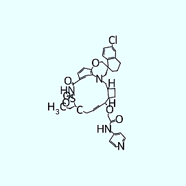 CC[C@@H]1CC/C=C/[C@H](OCC(=O)Nc2ccncc2)[C@@H]2CC[C@H]2CN2C[C@@]3(CCCc4cc(Cl)ccc43)COc3ccc(cc32)C(=O)NS1(=O)=O